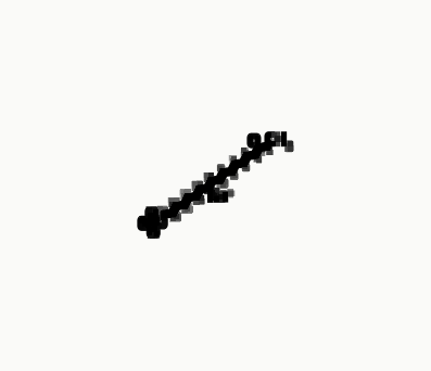 CCC(=O)CCCCCCCCCCCCCCCCOS(=O)(=O)[O-].[Na+]